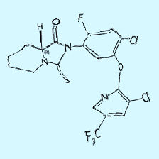 O=C1[C@H]2CCCCN2C(=S)N1c1cc(Oc2ncc(C(F)(F)F)cc2Cl)c(Cl)cc1F